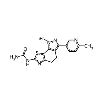 Cc1ccc(-c2nn(C(C)C)c3c2CCc2nc(NC(N)=O)sc2-3)cn1